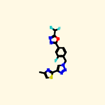 Cc1csc(-c2cn(Cc3ccc(-c4nnc(C(F)F)o4)cc3F)nn2)n1